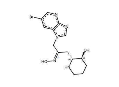 O/N=C(/C[C@H]1NCCC[C@@H]1O)Cn1cnc2ncc(Br)cc21